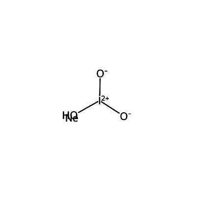 [Ne].[O-][I+2]([O-])O